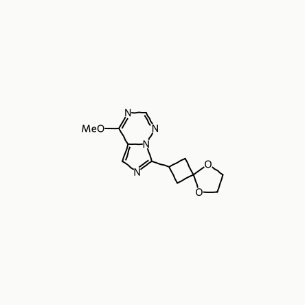 COc1ncnn2c(C3CC4(C3)OCCO4)ncc12